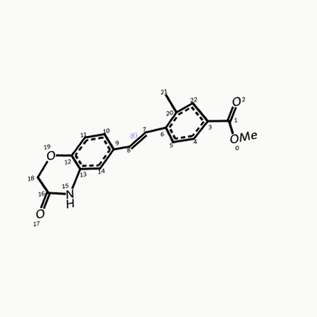 COC(=O)c1ccc(/C=C/c2ccc3c(c2)NC(=O)CO3)c(C)c1